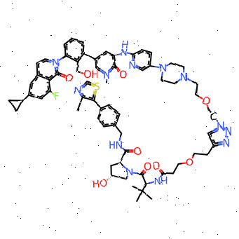 Cc1ncsc1-c1ccc(CNC(=O)[C@@H]2C[C@@H](O)CN2C(=O)[C@@H](NC(=O)CCOCCc2cn(CCOCCN3CCN(c4ccc(Nc5cc(-c6cccc(-n7ccc8cc(C9CC9)cc(F)c8c7=O)c6CO)cn(C)c5=O)nc4)CC3)nn2)C(C)(C)C)cc1